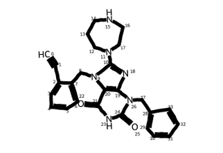 C#Cc1ccccc1Cn1c(N2CCCNCC2)nc2c1c(=O)[nH]c(=O)n2Cc1ccccc1